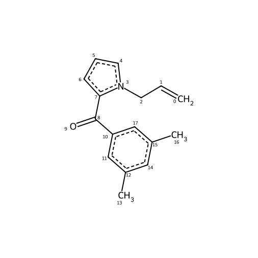 C=CCn1cccc1C(=O)c1cc(C)cc(C)c1